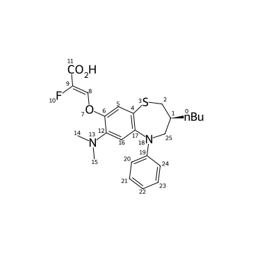 CCCC[C@@H]1CSc2cc(O/C=C(\F)C(=O)O)c(N(C)C)cc2N(c2ccccc2)C1